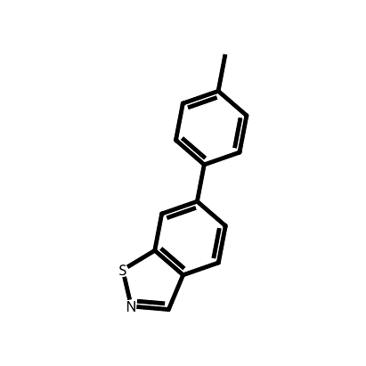 Cc1ccc(-c2ccc3cnsc3c2)cc1